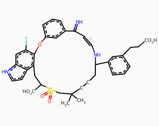 CC1(C)CCCC(c2cccc(CCC(=O)O)c2)N/C=C\C(=N)c2cccc(c2)Oc2c(F)cc3[nH]ccc3c2CC(C(=O)O)S(=O)(=O)C1